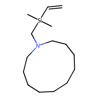 C=C[Si](C)(C)CN1CCCCCCCCCC1